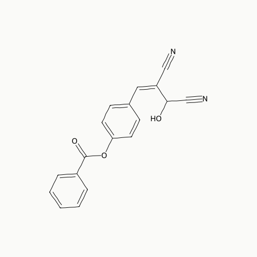 N#CC(=Cc1ccc(OC(=O)c2ccccc2)cc1)C(O)C#N